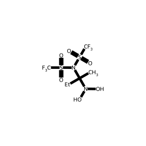 CCC(C)(N(O)O)N(S(=O)(=O)C(F)(F)F)S(=O)(=O)C(F)(F)F